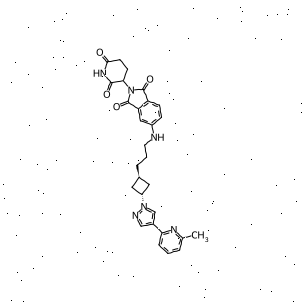 Cc1cccc(-c2cnn([C@H]3C[C@H](CCCNc4ccc5c(c4)C(=O)N(C4CCC(=O)NC4=O)C5=O)C3)c2)n1